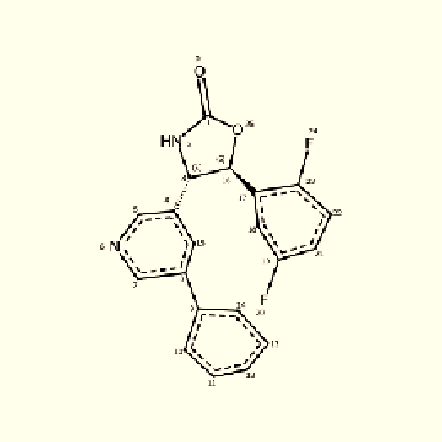 O=C1N[C@@H](c2cncc(-c3ccccc3)c2)[C@H](c2cc(F)ccc2F)O1